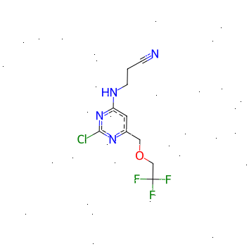 N#CCCNc1cc(COCC(F)(F)F)nc(Cl)n1